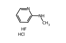 CNc1ccccn1.Cl.F